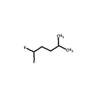 CC(C)CC[C](F)F